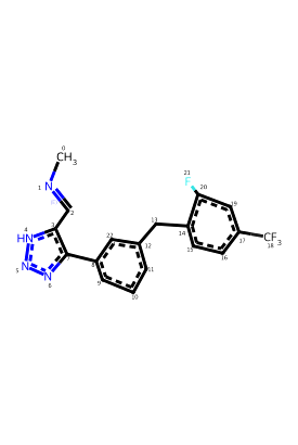 C/N=C/c1[nH]nnc1-c1cccc(Cc2ccc(C(F)(F)F)cc2F)c1